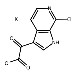 O=C([O-])C(=O)c1c[nH]c2c(Cl)nccc12.[K+]